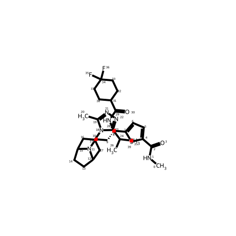 CNC(=O)c1ccc([C@H](CCN2C3CCC2CC(n2c(C)nnc2C(C)C)C3)NC(=O)C2CCC(F)(F)CC2)s1